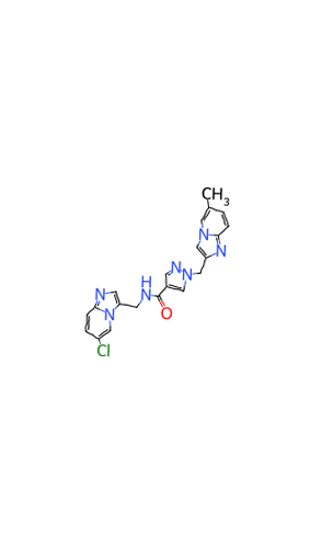 Cc1ccc2nc(Cn3cc(C(=O)NCc4cnc5ccc(Cl)cn45)cn3)cn2c1